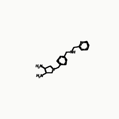 NC1CN(Cc2ccc(CNCc3ccccn3)cc2)CC1N